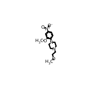 COCCN1CCN(c2ccc([N+](=O)[O-])cc2OC)CC1